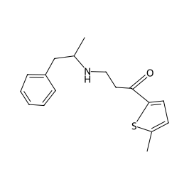 Cc1ccc(C(=O)CCNC(C)Cc2ccccc2)s1